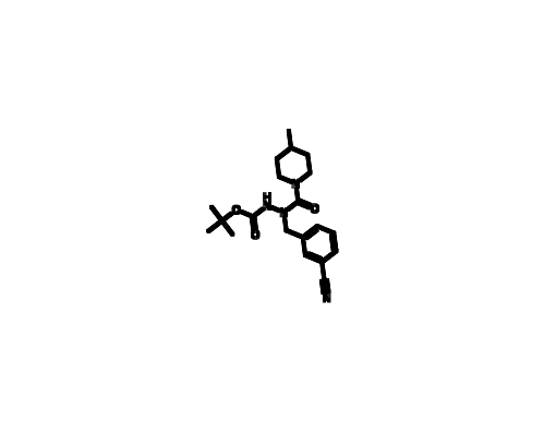 CC1CCN(C(=O)N(Cc2cccc(C#N)c2)NC(=O)OC(C)(C)C)CC1